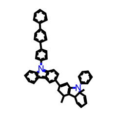 CC1CC(c2ccc3c(c2)c2ccccc2n3-c2ccc(-c3ccc(-c4ccccc4)cc3)cc2)=CC2=C1C1C=CC=CC1(C)N2c1ccccc1